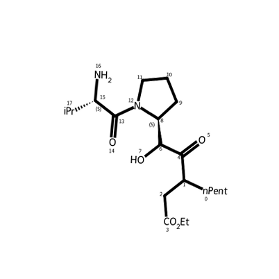 CCCCCC(CC(=O)OCC)C(=O)C(O)[C@@H]1CCCN1C(=O)[C@@H](N)C(C)C